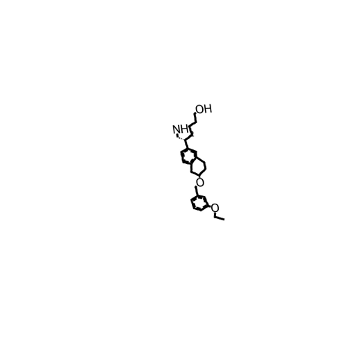 CCOc1cccc(CO[C@@H]2CCc3cc([C@H](CN)CCCCO)ccc3C2)c1